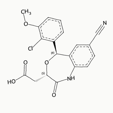 COc1cccc([C@@H]2O[C@@H](CC(=O)O)C(=O)Nc3ccc(C#N)cc32)c1Cl